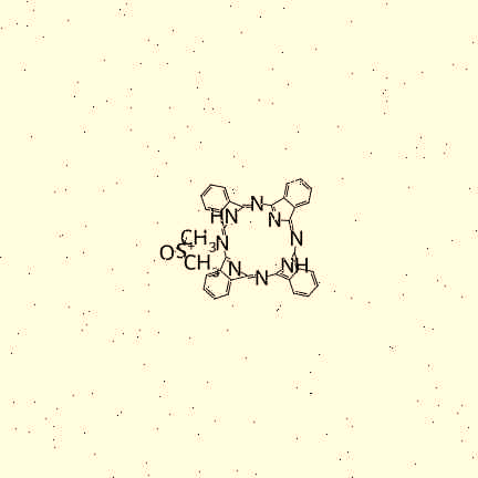 C[S+](C)[O-].c1ccc2c(c1)-c1nc-2nc2[nH]c(nc3nc(nc4[nH]c(n1)c1ccccc41)-c1ccccc1-3)c1ccccc21